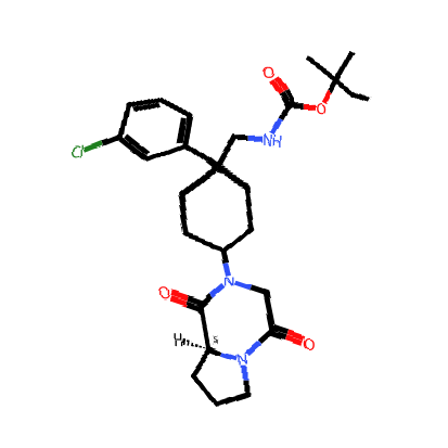 CC(C)(C)OC(=O)NCC1(c2cccc(Cl)c2)CCC(N2CC(=O)N3CCC[C@H]3C2=O)CC1